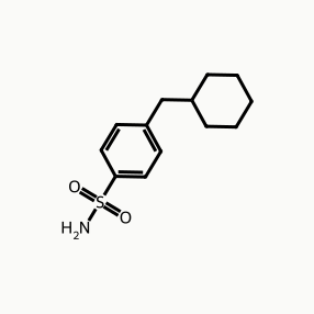 NS(=O)(=O)c1ccc(CC2CCCCC2)cc1